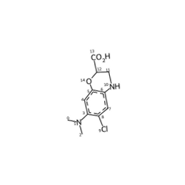 CN(C)c1cc2c(cc1Cl)NCC(C(=O)O)O2